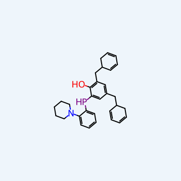 Oc1c(CC2C=CC=CC2)cc(CC2C=CC=CC2)cc1Pc1ccccc1N1CCCCC1